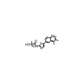 Cc1nnc2ccc(-c3cnc(NC(=O)C(C)(C)O)s3)cc2c1C